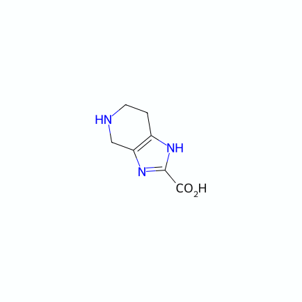 O=C(O)c1nc2c([nH]1)CCNC2